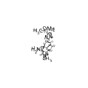 COC(C)c1nc(-c2ccc3c(c2)CC[C@H]3c2nn(C)cc2C(N)=O)no1